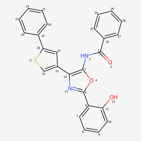 O=C(Nc1oc(-c2ccccc2O)nc1-c1csc(-c2ccccc2)c1)c1ccccc1